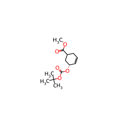 COC(=O)C1CC=C[C@H](OC(=O)OC(C)(C)C)C1